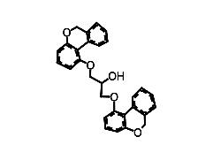 OC(COc1cccc2c1-c1ccccc1CO2)COc1cccc2c1-c1ccccc1CO2